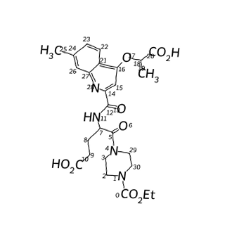 CCOC(=O)N1CCN(C(=O)C(CCC(=O)O)NC(=O)c2cc(OC(C)C(=O)O)c3ccc(C)cc3n2)CC1